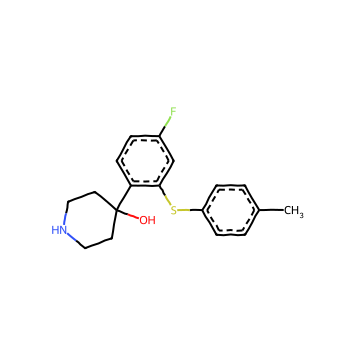 Cc1ccc(Sc2cc(F)ccc2C2(O)CCNCC2)cc1